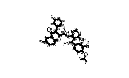 CC(C)Oc1ccc(C(=N)c2c(N)ncnc2N[C@@H](C)c2oc3ccc(F)cc3c(=O)c2-c2cccc(F)c2)cc1F